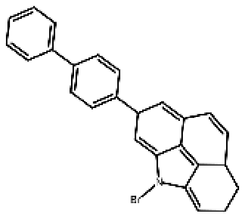 Brn1c2c3c4c1=CCCC4C=CC3=CC(c1ccc(-c3ccccc3)cc1)C=2